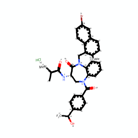 CNC(C)C(=O)N[C@H]1CN(C(=O)c2ccc(C(O)C(F)(F)F)cc2)c2ccccc2N(Cc2c(OC)ccc3cc(Br)ccc23)C1=O.Cl